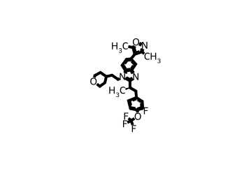 Cc1noc(C)c1-c1ccc2c(c1)nc([C@H](C)Cc1ccc(OC(F)(F)F)c(F)c1)n2CCC1CCOCC1